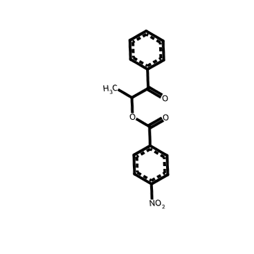 CC(OC(=O)c1ccc([N+](=O)[O-])cc1)C(=O)c1ccccc1